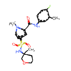 Cc1cc(NC(=O)c2cc(S(=O)(=O)NC3(C)CCOC3)cn2C)ccc1F